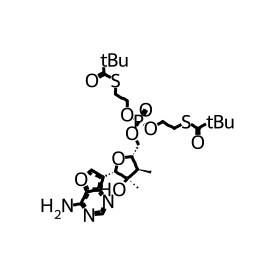 C[C@@H]1[C@@H](COP(=O)(OCCSC(=O)C(C)(C)C)OCCSC(=O)C(C)(C)C)O[C@@H](c2coc3c(N)ncnc23)[C@]1(C)O